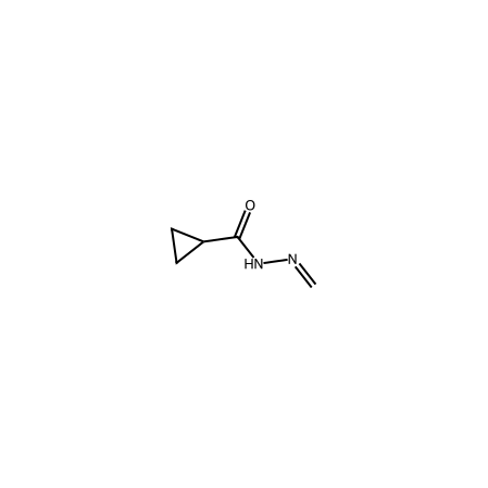 C=NNC(=O)C1CC1